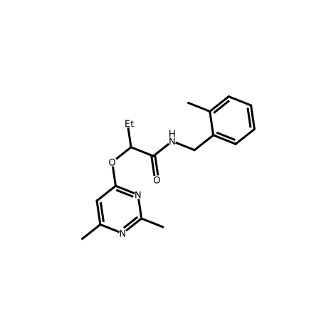 CCC(Oc1cc(C)nc(C)n1)C(=O)NCc1ccccc1C